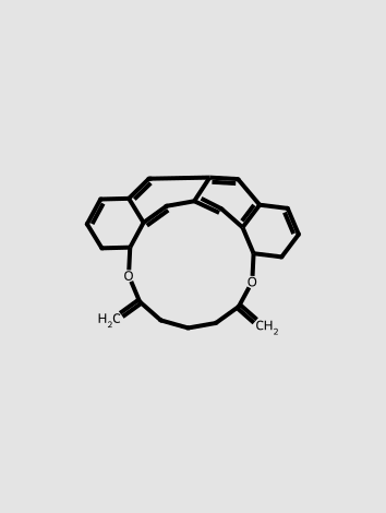 C=C1CCCC(=C)OC2CC=Cc3cc4cc5c(cc4cc32)C(CC=C5)O1